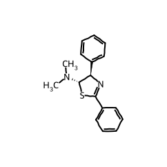 CN(C)[C@H]1SC(c2ccccc2)=N[C@@H]1c1ccccc1